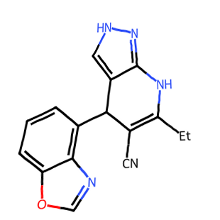 CCC1=C(C#N)C(c2cccc3ocnc23)c2c[nH]nc2N1